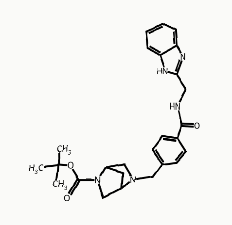 CC(C)(C)OC(=O)N1CC2CC1CN2Cc1ccc(C(=O)NCc2nc3ccccc3[nH]2)cc1